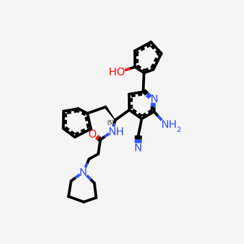 N#Cc1c([C@H](Cc2ccccc2)NC(=O)CCN2CCCCC2)cc(-c2ccccc2O)nc1N